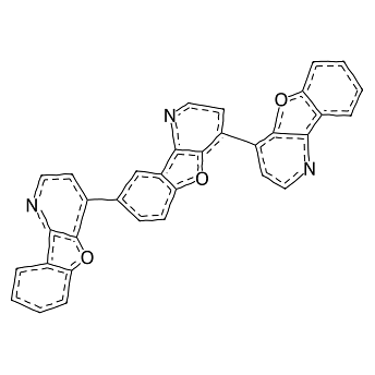 c1ccc2c(c1)oc1c(-c3ccc4oc5c(-c6ccnc7c6oc6ccccc67)ccnc5c4c3)ccnc12